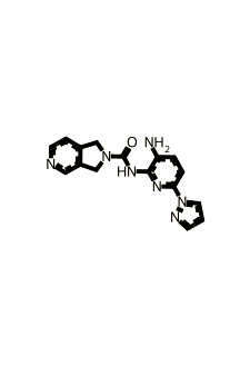 Nc1ccc(-n2cccn2)nc1NC(=O)N1Cc2ccncc2C1